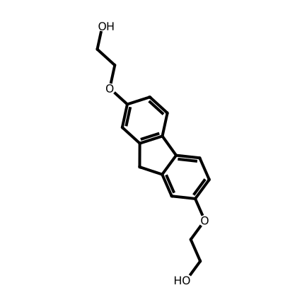 OCCOc1ccc2c(c1)Cc1cc(OCCO)ccc1-2